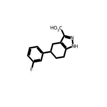 O=C(O)c1n[nH]c2c1CC(c1cccc(F)c1)CC2